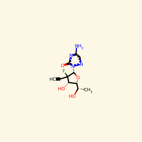 C#CC1(F)[C@@H](O)[C@@H]([C@H](C)O)O[C@H]1n1ncc(N)nc1=O